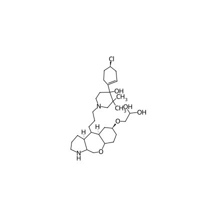 CC1(C)CN(CCCC2[C@@H]3CCCNC3COC3CC[C@H](OCC(O)O)C[C@@H]32)CCC1(O)C1=CC[C@H](Cl)CC1